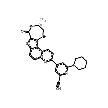 C#Cc1cc(-c2ccc3c(ccc4sc5c(c43)NC[C@@H](C)NC5=O)n2)cc(N2CCCCC2)n1